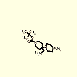 CN1CCN(C2(CN)CCN(C(=O)OC(C)(C)C)CC2)CC1